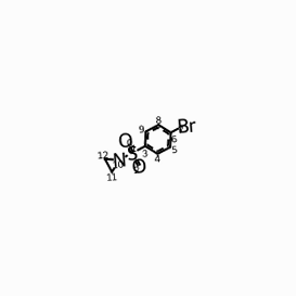 O=S(=O)(c1ccc(Br)cc1)N1CC1